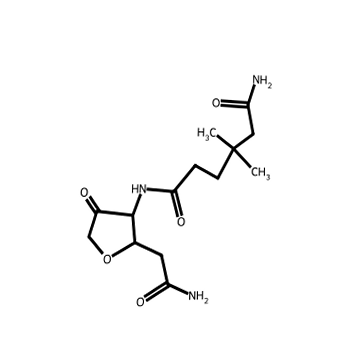 CC(C)(CCC(=O)NC1C(=O)COC1CC(N)=O)CC(N)=O